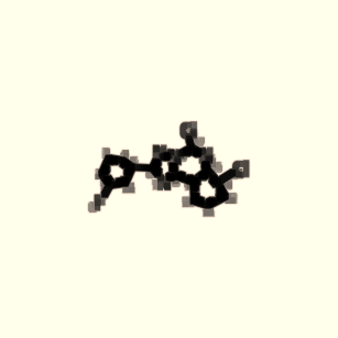 Fc1cccc(-c2nc3c4cccc(Cl)c4nc(Cl)n3n2)c1